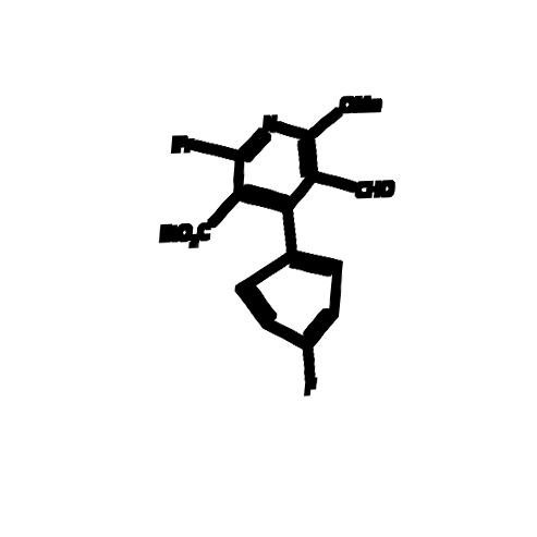 CCOC(=O)c1c(C(C)C)nc(OC)c(C=O)c1-c1ccc(F)cc1